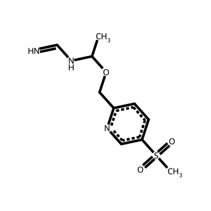 CC(NC=N)OCc1ccc(S(C)(=O)=O)cn1